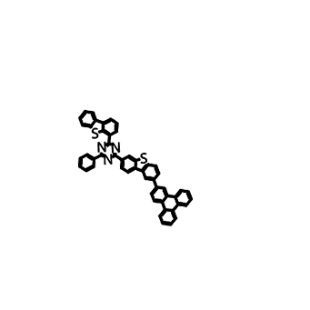 c1ccc(-c2nc(-c3ccc4c(c3)sc3ccc(-c5ccc6c7ccccc7c7ccccc7c6c5)cc34)nc(-c3cccc4c3sc3ccccc34)n2)cc1